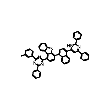 Cc1cccc(-c2nc(-c3ccccc3)nc(-c3ccc(-c4ccc(C5=CC(c6ccccc6)=NC(c6ccccc6)N5)c5ccccc45)c4sc5ccccc5c34)n2)c1